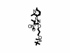 Cc1ccc(-n2nc(OCCCO[Si](C)(C)C(C)(C)C)c([N+](=O)[O-])c2C)c(C)n1